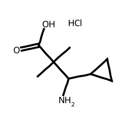 CC(C)(C(=O)O)C(N)C1CC1.Cl